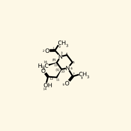 CC(=O)N1CCN(C(C)=O)[C@@H](CC(=O)O)[C@H]1C